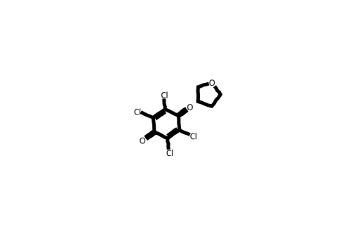 C1CCOC1.O=C1C(Cl)=C(Cl)C(=O)C(Cl)=C1Cl